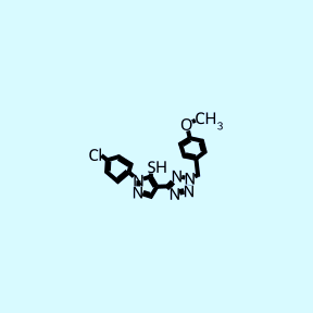 COc1ccc(Cn2nnc(-c3cnn(-c4ccc(Cl)cc4)c3S)n2)cc1